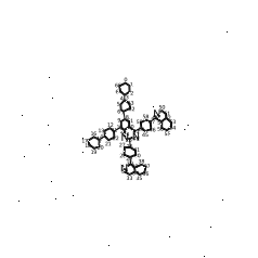 c1ccc(-c2ccc(-c3cc(-c4ccc(-c5ccccc5)cc4)c4nc(-c5ccc(-c6nccc7ccccc67)cc5)nc(-c5ccc(-c6nccc7ccccc67)cc5)c4c3)cc2)cc1